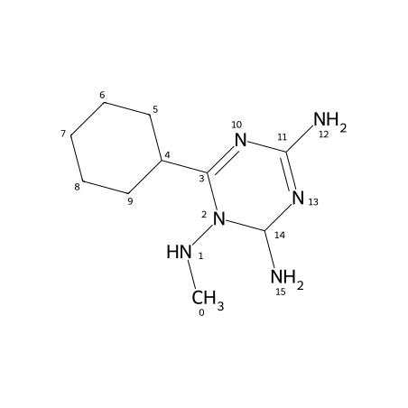 CNN1C(C2CCCCC2)=NC(N)=NC1N